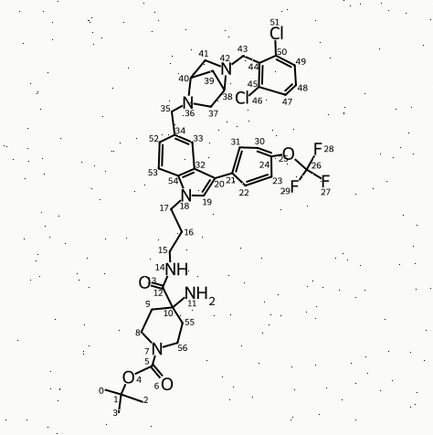 CC(C)(C)OC(=O)N1CCC(N)(C(=O)NCCCn2cc(-c3ccc(OC(F)(F)F)cc3)c3cc(CN4CC5CC4CN5Cc4c(Cl)cccc4Cl)ccc32)CC1